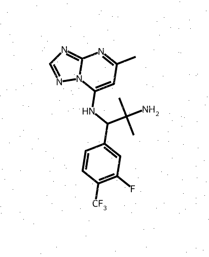 Cc1cc(NC(c2ccc(C(F)(F)F)c(F)c2)C(C)(C)N)n2ncnc2n1